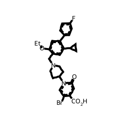 CCOc1cc(-c2ccc(F)cc2)c(C2CC2)cc1CN1CCC(n2cc(Br)c(C(=O)O)cc2=O)CC1